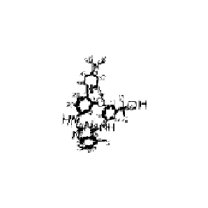 COc1cc(Nc2nc(Nc3cccc(C(C)(C)O)c3)c3c(C)csc3n2)ccc1N1CCC(N(C)C)CC1